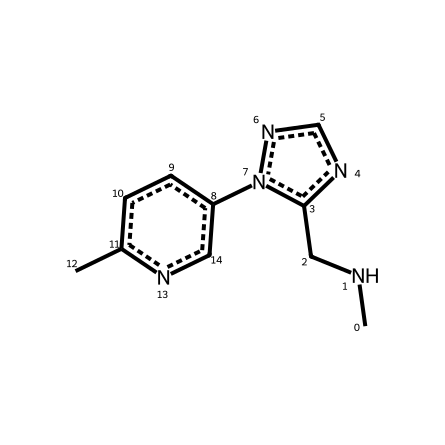 CNCc1ncnn1-c1ccc(C)nc1